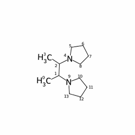 CC(C(C)N1CCCC1)N1CCCC1